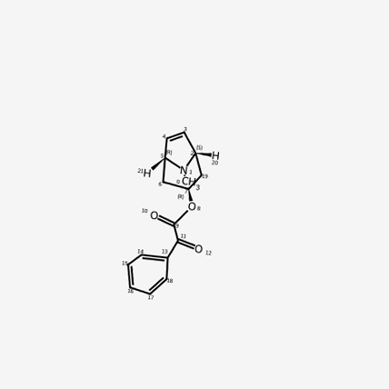 CN1[C@@H]2C=C[C@H]1C[C@H](OC(=O)C(=O)c1ccccc1)C2